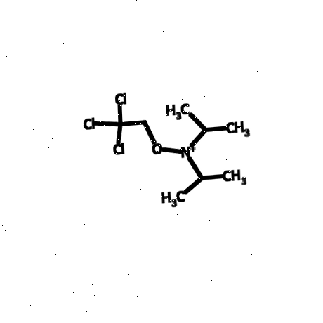 CC(C)[N+](OCC(Cl)(Cl)Cl)C(C)C